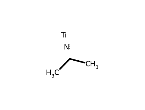 CCC.[N].[Ti]